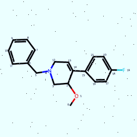 COC1CN(Cc2ccccc2)CC=C1c1ccc(F)cc1